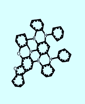 c1ccc(N2c3ccccc3B3c4cccc5c4N4c6c3c2cc2c6B(c3ccccc3N2c2ccccc2)c2cc3c(oc6ccccc63)c(c24)O5)cc1